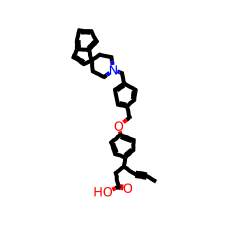 CC#CC(CC(=O)O)c1ccc(OCc2ccc(CN3CCC4(C=Cc5ccccc54)CC3)cc2)cc1